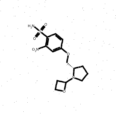 NS(=O)(=O)c1ccc(OC[C@@H]2CCCN2C2CCO2)cc1[N+](=O)[O-]